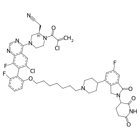 C=C(Cl)C(=O)N1CCN(c2ncnc3c(F)c(-c4c(F)cccc4OCCCCCCCN4CCC(c5cc(F)cc6c5CN(C5CCC(=O)NC5=O)C6=O)CC4)c(Cl)cc23)C[C@H]1CC#N